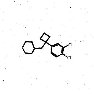 Clc1ccc(C2([CH]C3CCCCC3)CCC2)cc1Cl